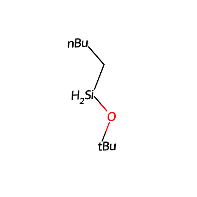 CCCCC[SiH2]OC(C)(C)C